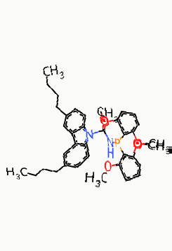 CCCCc1ccc2c(c1)c1cc(CCCC)ccc1n2C(=O)NP(c1c(OC)cccc1OC)c1c(OC)cccc1OC